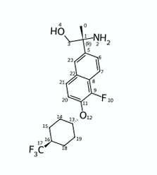 C[C@](N)(CO)c1ccc2c(F)c(O[C@H]3CC[C@H](C(F)(F)F)CC3)ccc2c1